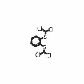 ClC(Cl)Sc1ccccc1SC(Cl)Cl